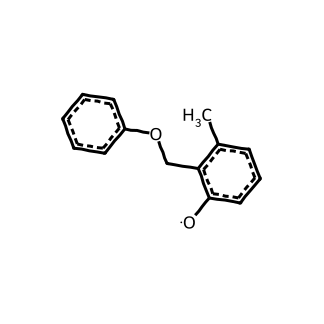 Cc1cccc([O])c1COc1ccccc1